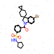 O=C(c1cccc(S(=O)(=O)NC2CCCC2)c1)N1CC2(CCC3(CC3)CC2)c2cc(Br)ccc21